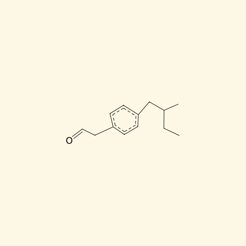 CCC(C)Cc1ccc(CC=O)cc1